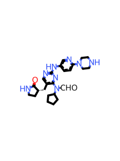 O=CN(c1nc(Nc2ccc(N3CCNCC3)nc2)ncc1C[C@@H]1CCNC1=O)C1CCCC1